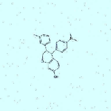 Cc1cccc(C2COc3cc(O)ccc3C2c2ccc(N(C)C)cc2)c1